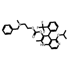 CC1=C(OC(=O)OCCN(C)Cc2ccccc2)C(c2ccccc2C(F)(F)F)c2c(ccnc2OC(C)C)N1